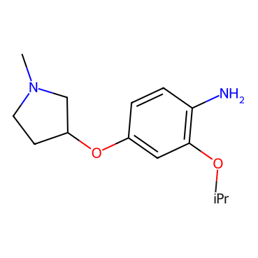 CC(C)Oc1cc(OC2CCN(C)C2)ccc1N